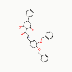 O=C(/C=C/c1ccc(OCc2ccccc2)c(OCc2ccccc2)c1)C1C(=O)CC(c2ccccc2)CC1=O